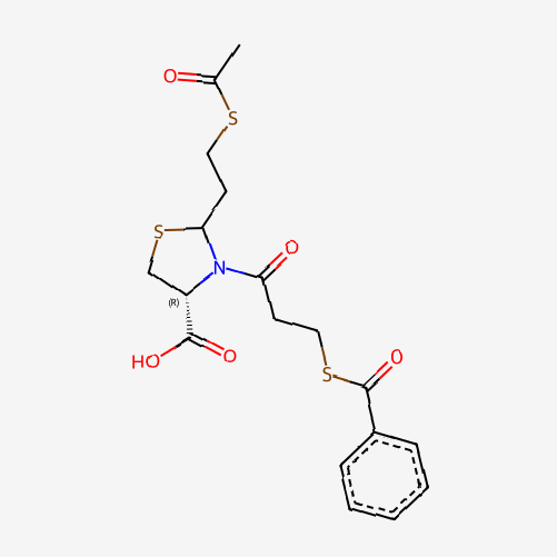 CC(=O)SCCC1SC[C@@H](C(=O)O)N1C(=O)CCSC(=O)c1ccccc1